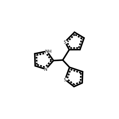 c1csc(C(c2ncc[nH]2)c2cccs2)c1